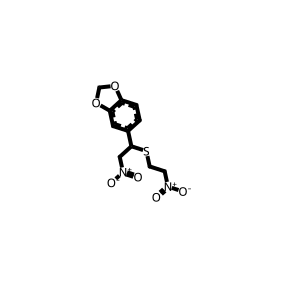 O=[N+]([O-])CCSC(C[N+](=O)[O-])c1ccc2c(c1)OCO2